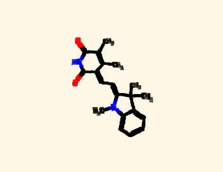 CC1=C(C)/C(=C\C=C2/N(C)c3ccccc3C2(C)C)C(=O)NC1=O